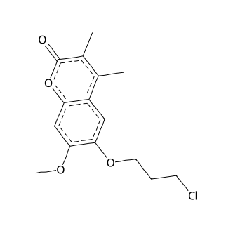 COc1cc2oc(=O)c(C)c(C)c2cc1OCCCCl